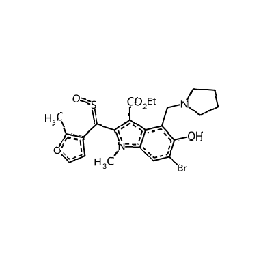 CCOC(=O)c1c(C(=S=O)c2ccoc2C)n(C)c2cc(Br)c(O)c(CN3CCCC3)c12